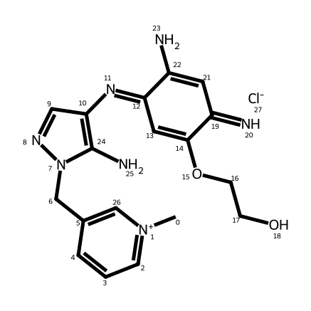 C[n+]1cccc(Cn2ncc(N=C3C=C(OCCO)C(=N)C=C3N)c2N)c1.[Cl-]